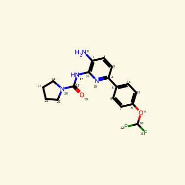 Nc1ccc(-c2ccc(OC(F)F)cc2)nc1NC(=O)N1CCCC1